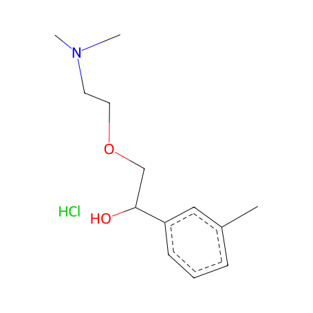 Cc1cccc(C(O)COCCN(C)C)c1.Cl